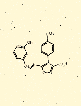 C=Nc1onc(C(=O)O)c1-c1ccc(OC)cc1.Oc1cccc(O)c1